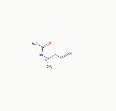 CC(=O)N[C@@H](C)CC=N